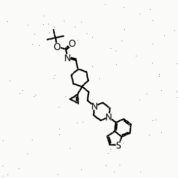 CC(C)(C)OC(=O)/N=C/C1CCC(CCN2CCN(c3cccc4sccc34)CC2)(C2=CC2)CC1